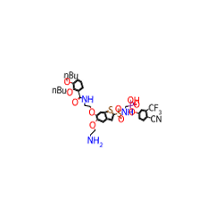 CCCCOc1cccc(C(=O)NCCOc2cc3sc(S(=O)(=O)NCP(=O)(O)Oc4ccc(C#N)c(C(F)(F)F)c4)cc3cc2OCCN)c1OCCCC